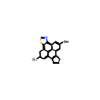 CC(C)(C)c1cc2c3c(c4cc(C(C)(C)C)cc5c6scnc6c(c1)c2c45)C=CC3